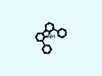 [c]1ccc2c([nH]c3c(-c4ccccc4)cccc32)c1-c1ccccc1